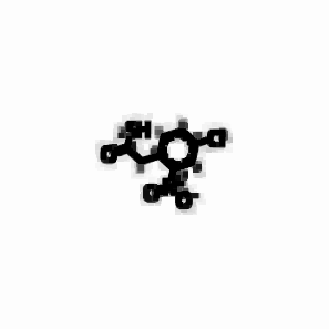 O=C(S)Cc1ccc(Cl)cc1[N+](=O)[O-]